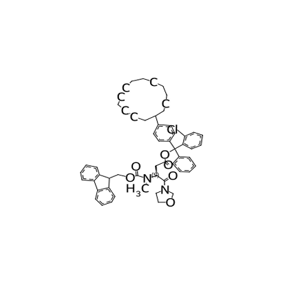 CN(C(=O)OCC1c2ccccc2-c2ccccc21)[C@@H](CC(=O)OC(c1ccccc1)(c1ccc(C2CCCCCCCCCCCCC2)cc1)c1ccccc1Cl)C(=O)N1CCOC1